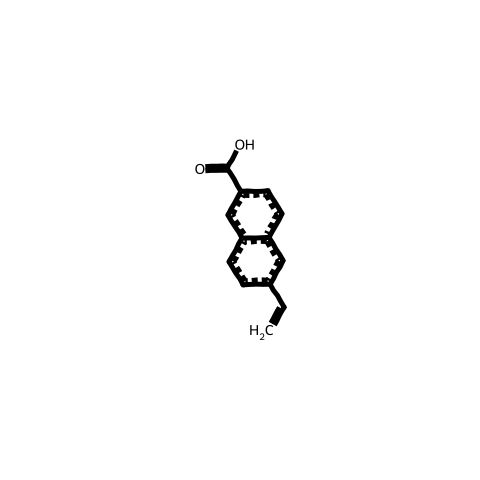 C=Cc1ccc2cc(C(=O)O)ccc2c1